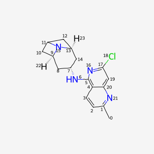 Cc1ccc2c(N[C@@H]3C[C@H]4CC5C[C@@H](C3)N54)nc(Cl)cc2n1